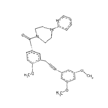 COc1cc(C#Cc2cc(C(=O)N3CCN(c4ccccn4)CC3)ccc2OC)cc(OC)c1